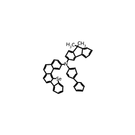 CC1(C)c2ccccc2-c2cc(N(c3ccc(-c4ccccc4)cc3)c3ccc4ccc5ccc6c7ccccc7[se]c6c5c4c3)ccc21